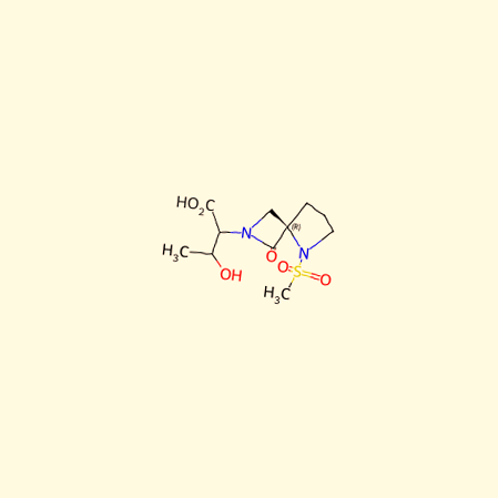 CC(O)C(C(=O)O)N1C[C@]2(CCCN2S(C)(=O)=O)C1=O